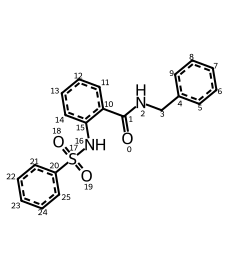 O=C(NCc1ccccc1)c1ccccc1NS(=O)(=O)c1ccccc1